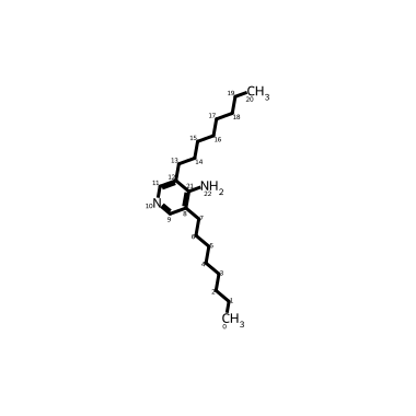 CCCCCCCCc1cncc(CCCCCCCC)c1N